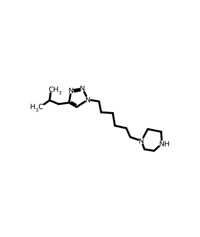 CC(C)Cc1cn(CCCCCCN2CCNCC2)nn1